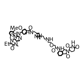 CC[C@@H]1C(=O)N(C)c2cnc(Nc3ccc(C(=O)NCc4cn(CCNCCOCC(=O)Nc5cccc6c5CN(C5CCC(=O)NC5=O)C6=O)nn4)cc3OC)nc2N1Cc1ccc(C)s1